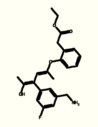 CCOC(=O)Cc1ccccc1O/C(C)=C/C(=C(\C)O)c1cc(F)cc(CN)c1